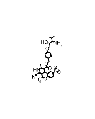 COC(=O)C1=C(C#N)NC(C)=C(C(=O)OCc2ccc(OCC(O)C(N)C(C)C)cc2)C1c1cccc([N+](=O)[O-])c1